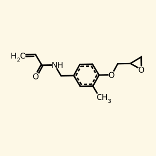 C=CC(=O)NCc1ccc(OCC2CO2)c(C)c1